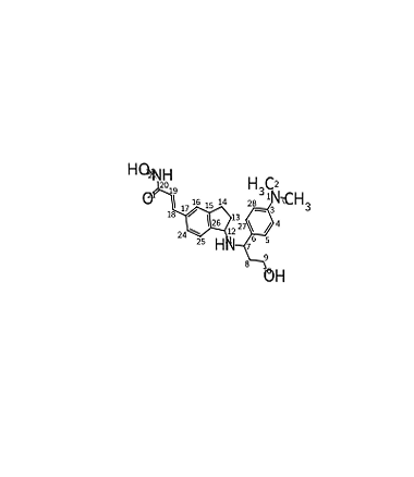 CN(C)c1ccc(C(CCO)NC2CCc3cc(C=CC(=O)NO)ccc32)cc1